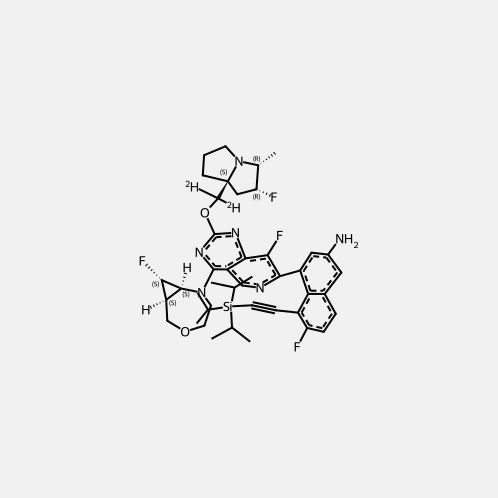 [2H]C([2H])(Oc1nc(N2CCOC[C@H]3[C@H](F)[C@H]32)c2cnc(-c3cc(N)cc4ccc(F)c(C#C[Si](C(C)C)(C(C)C)C(C)C)c34)c(F)c2n1)[C@@]12CCCN1[C@H](C)[C@H](F)C2